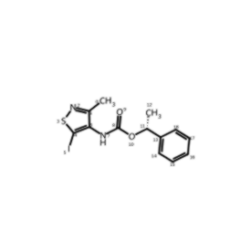 Cc1nsc(I)c1NC(=O)O[C@H](C)c1ccccc1